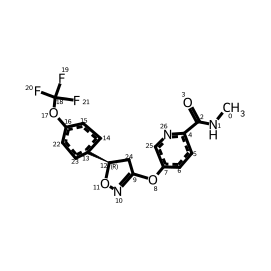 CNC(=O)c1ccc(OC2=NO[C@@H](c3ccc(OC(F)(F)F)cc3)C2)cn1